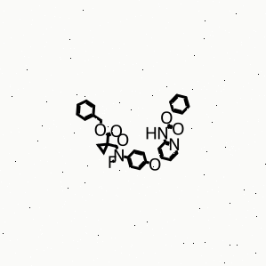 O=C(Nc1cc(Oc2ccc(N(F)C(=O)C3(C(=O)OCc4ccccc4)CC3)cc2)ccn1)Oc1ccccc1